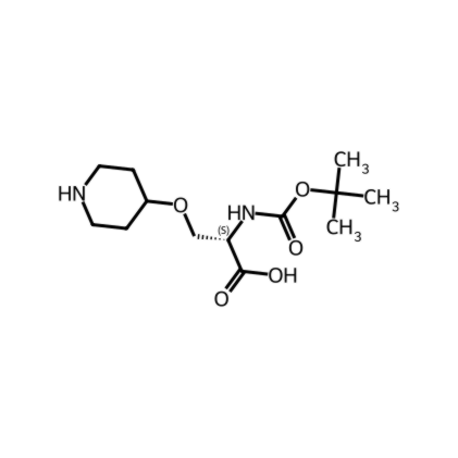 CC(C)(C)OC(=O)N[C@@H](COC1CCNCC1)C(=O)O